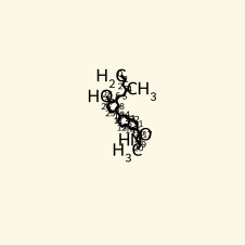 C=CCC(C)CCc1cc(-c2ccc3cc(C(=O)NCC)ccc3c2)ccc1O